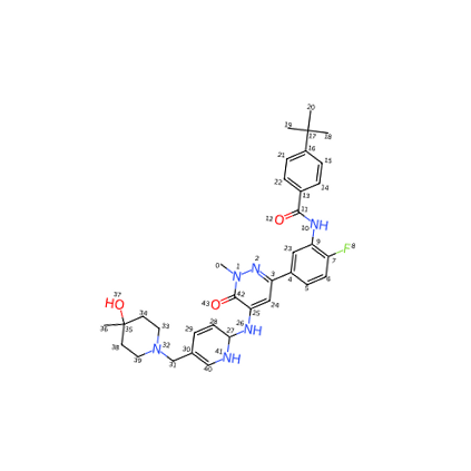 Cn1nc(-c2ccc(F)c(NC(=O)c3ccc(C(C)(C)C)cc3)c2)cc(NC2C=CC(CN3CCC(C)(O)CC3)=CN2)c1=O